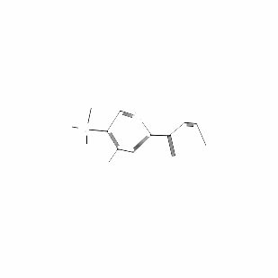 C=C(/C=C\C)c1cc(CCC)c([Si](C)(C)C)cn1